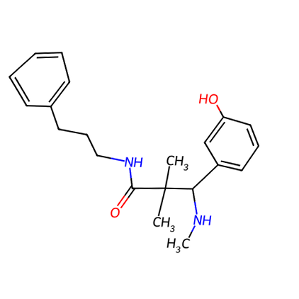 CNC(c1cccc(O)c1)C(C)(C)C(=O)NCCCc1ccccc1